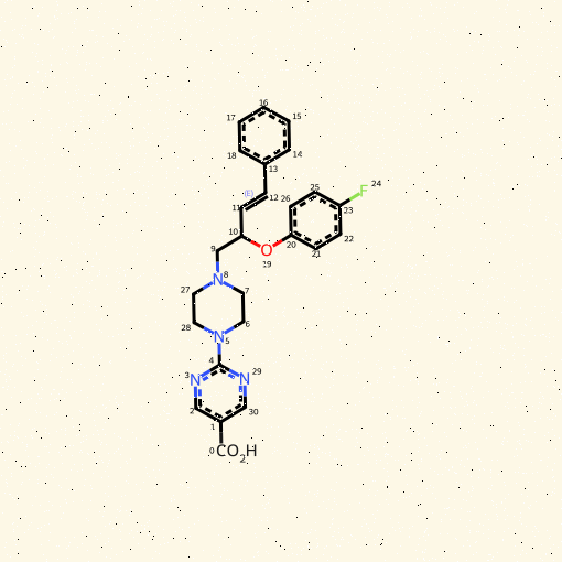 O=C(O)c1cnc(N2CCN(CC(/C=C/c3ccccc3)Oc3ccc(F)cc3)CC2)nc1